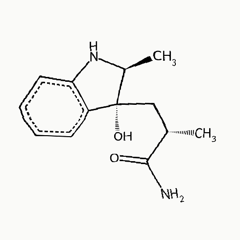 C[C@@H]1Nc2ccccc2[C@]1(O)C[C@H](C)C(N)=O